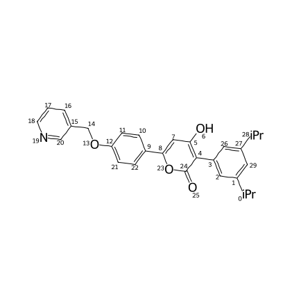 CC(C)c1cc(-c2c(O)cc(-c3ccc(OCc4cccnc4)cc3)oc2=O)cc(C(C)C)c1